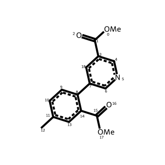 COC(=O)c1cncc(-c2ccc(C)cc2C(=O)OC)c1